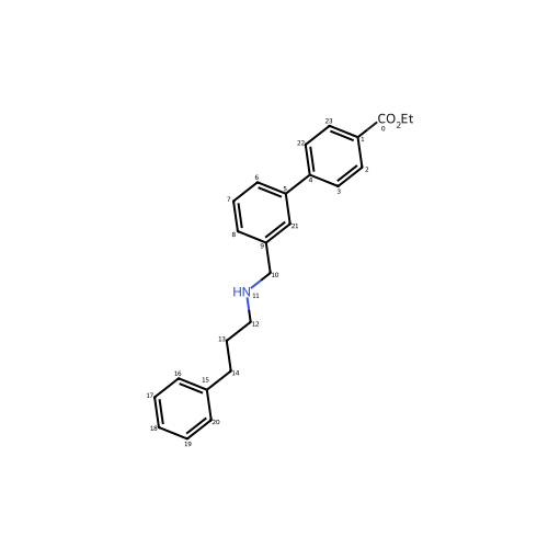 CCOC(=O)c1ccc(-c2cccc(CNCCCc3ccccc3)c2)cc1